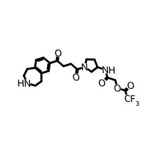 O=C(COC(=O)C(F)(F)F)NC1CCN(C(=O)CCC(=O)c2ccc3c(c2)CCNCC3)C1